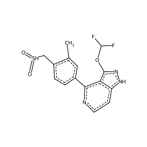 Cc1cc(-c2nccc3[nH]nc(OC(F)F)c23)ccc1C[SH](=O)=O